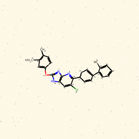 Cc1ccc(Oc2nc3nc(C4C=CC(c5ccccc5C#N)=CC4)c(Cl)cc3[nH]2)cc1C(=O)O